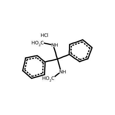 Cl.O=C(O)NC(NC(=O)O)(c1ccccc1)c1ccccc1